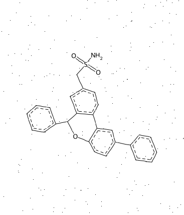 NS(=O)(=O)Cc1ccc2c(c1)C(c1ccccc1)Oc1ccc(-c3ccccc3)cc1-2